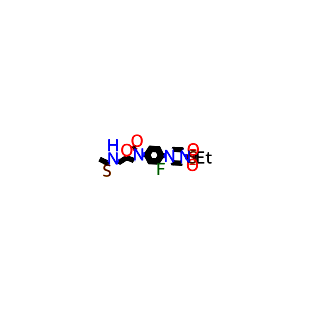 CCS(=O)(=O)N1CCN(c2ccc(N3CC(CNC(C)=S)OC3=O)cc2F)CC1